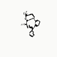 CC(=O)OC1N=C(c2ccccc2)c2ccccc2-n2ccc(=O)nc21